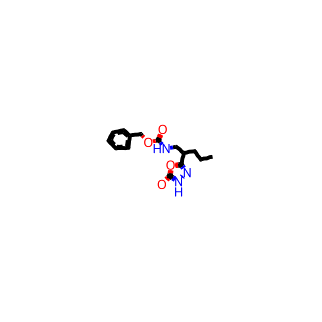 CCCC(CNC(=O)OCc1ccccc1)c1n[nH]c(=O)o1